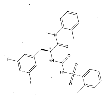 Cc1ccccc1N(C)C(=O)[C@H](Cc1cc(F)cc(F)c1)NC(=O)NS(=O)(=O)c1ccccc1C